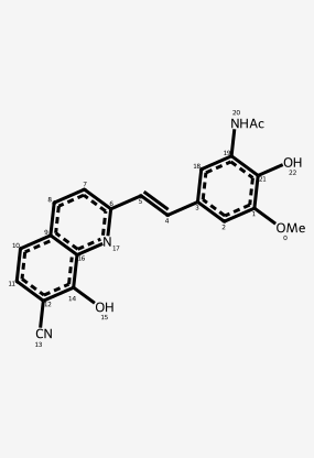 COc1cc(C=Cc2ccc3ccc(C#N)c(O)c3n2)cc(NC(C)=O)c1O